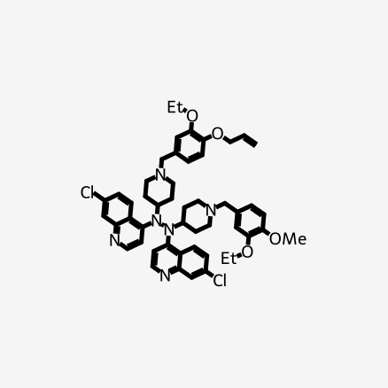 C=CCOc1ccc(CN2CCC(N(c3ccnc4cc(Cl)ccc34)N(c3ccnc4cc(Cl)ccc34)C3CCN(Cc4ccc(OC)c(OCC)c4)CC3)CC2)cc1OCC